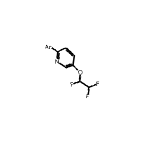 CC(=O)c1ccc(OC(F)C(F)F)cn1